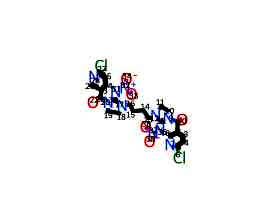 O=C(c1ccc(Cl)nc1)N1CCN(CCCCN2CCN(C(=O)c3ccc(Cl)nc3)C2=N[N+](=O)[O-])C1=N[N+](=O)[O-]